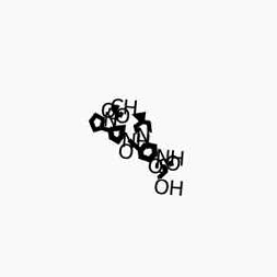 CS(=O)(=O)N1c2cc(NC(=O)c3ccc(NS(=O)(=O)CCO)cc3N3CCC4(CC3)CC4)ccc2C2CCCC21